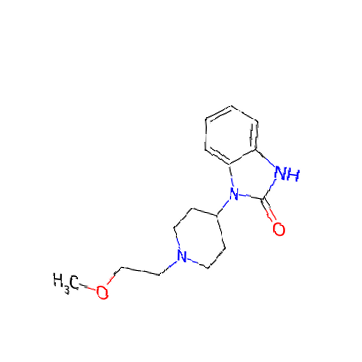 COCCN1CCC(n2c(=O)[nH]c3ccccc32)CC1